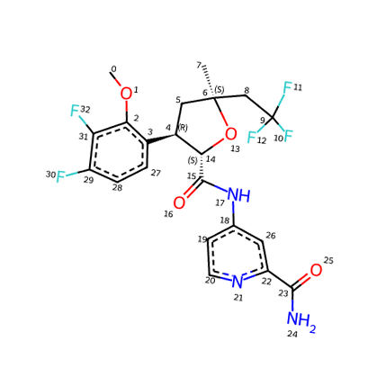 COc1c([C@H]2C[C@@](C)(CC(F)(F)F)O[C@@H]2C(=O)Nc2ccnc(C(N)=O)c2)ccc(F)c1F